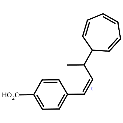 CC(/C=C\c1ccc(C(=O)O)cc1)C1C=CC=CC=C1